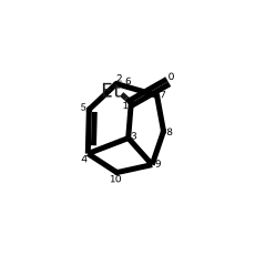 C=C(CC)C1C2=CCCCC1C2